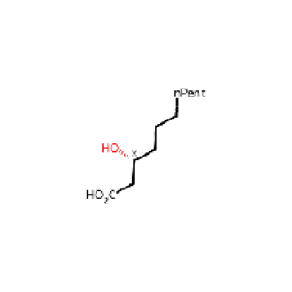 CCCCCCCC[C@@H](O)CC(=O)O